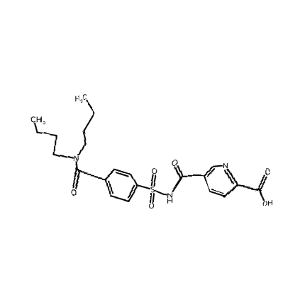 CCCCN(CCCC)C(=O)c1ccc(S(=O)(=O)NC(=O)c2ccc(C(=O)O)nc2)cc1